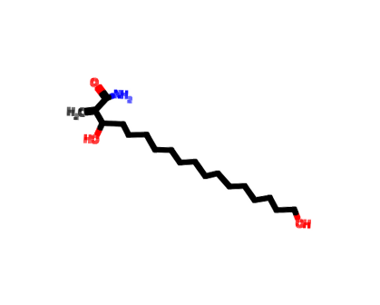 C=C(C(N)=O)C(O)CCCCCCCCCCCCCCCO